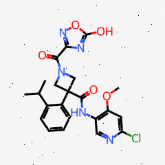 COc1cc(Cl)ncc1NC(=O)C1(c2ccccc2C(C)C)CN(C(=O)c2noc(O)n2)C1